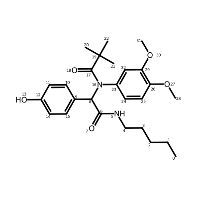 CCCCCNC(=O)C(c1ccc(O)cc1)N(C(=O)C(C)(C)C)c1ccc(OC)c(OC)c1